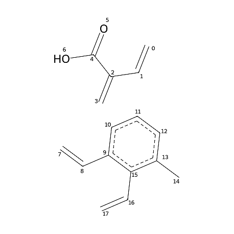 C=CC(=C)C(=O)O.C=Cc1cccc(C)c1C=C